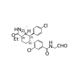 CC[C@@]12CC[C@@H](c3ccc(C(=O)NCC=O)cc3Cl)[C@H](c3ccc(Cl)cc3)[C@@H]1[C@@H](C)NC2=O